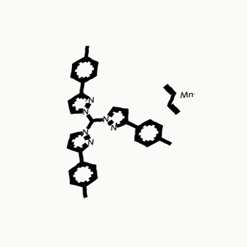 C=CC=C.Cc1ccc(-c2ccn(C(n3ccc(-c4ccc(C)cc4)n3)n3ccc(-c4ccc(C)cc4)n3)n2)cc1.[Mn]